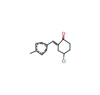 Cc1ccc(C=C2CC(Cl)CCC2=O)cc1